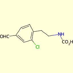 O=Cc1ccc(CCNC(=O)O)c(Cl)c1